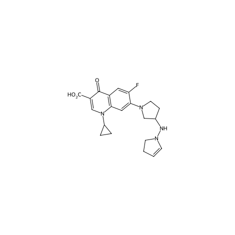 O=C(O)c1cn(C2CC2)c2cc(N3CCC(NN4C=CCC4)C3)c(F)cc2c1=O